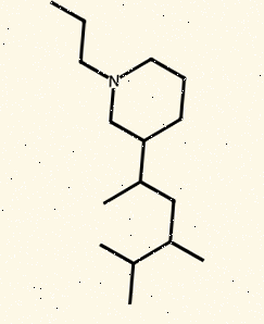 CCCN1CCCC(C(C)CC(C)C(C)C)C1